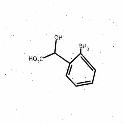 Bc1ccccc1C(O)C(=O)O